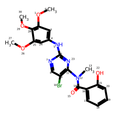 COc1cc(Nc2ncc(Br)c(N(C)C(=O)c3ccccc3O)n2)cc(OC)c1OC